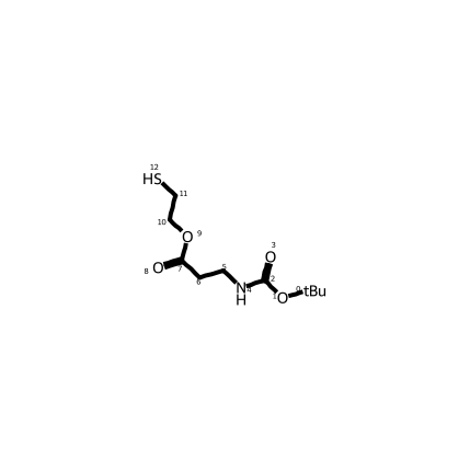 CC(C)(C)OC(=O)NCCC(=O)OCCS